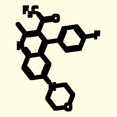 Cc1nc2ccc(N3CCOCC3)cc2c(-c2ccc(F)cc2)c1C(=O)C(F)(F)F